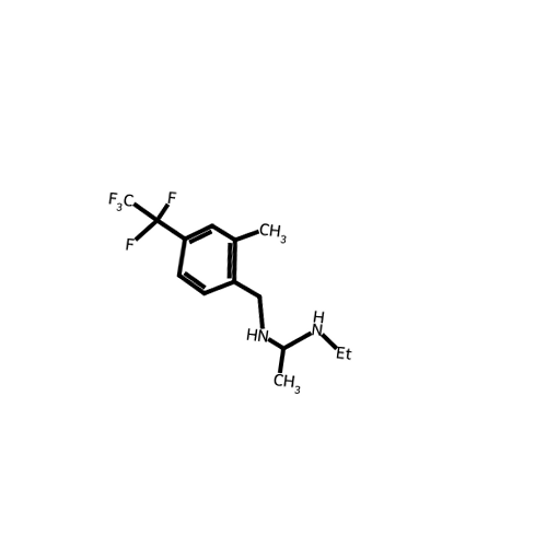 CCNC(C)NCc1ccc(C(F)(F)C(F)(F)F)cc1C